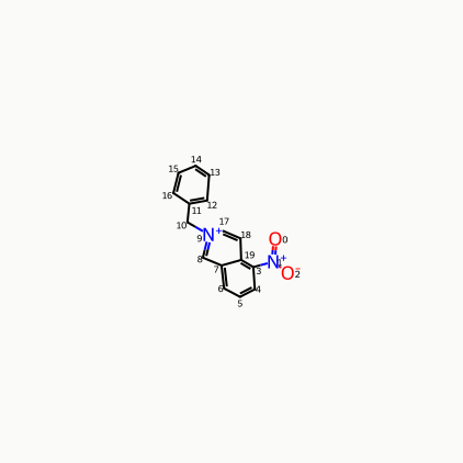 O=[N+]([O-])c1cccc2c[n+](Cc3ccccc3)ccc12